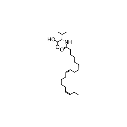 CC/C=C\C/C=C\C/C=C\C/C=C\CCCCC(=O)N[C@H](C(=O)O)C(C)C